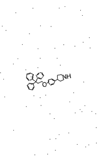 c1ccc(C(CCOc2ccc(C3CCNCC3)cc2)(c2ccccc2)c2ccccc2)cc1